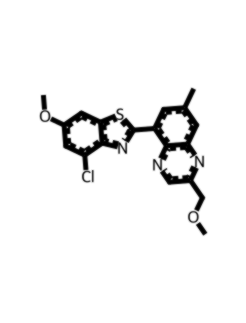 COCc1cnc2c(-c3nc4c(Cl)cc(OC)cc4s3)cc(C)cc2n1